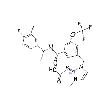 Cc1cc(C(C)NC(=O)c2cc(Cn3ccn(C)/c3=N\C(=O)O)cc(OC(F)(F)F)c2)ccc1F